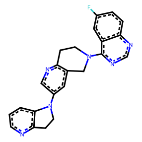 Fc1ccc2ncnc(N3CCc4ncc(N5CCc6ncccc65)cc4C3)c2c1